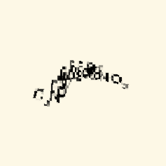 O=[N+]([O-])c1cccc(C2(S(=O)(=O)c3ccc(SSc4ccc(S(=O)(=O)C5(c6cccc([N+](=O)[O-])c6F)CC5)cc4F)c(F)c3)CC2)c1F